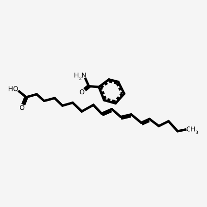 CCCCC=CC=CC=CCCCCCCCC(=O)O.NC(=O)c1ccccc1